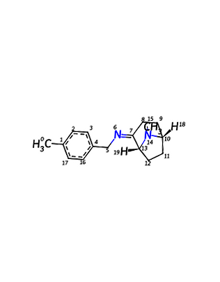 Cc1ccc(C/N=C2/CC[C@@H]3CC[C@H]2N3C)cc1